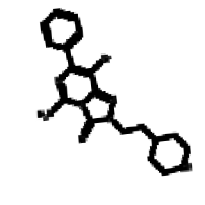 Nc1nc(-c2ccccc2)c(Br)c2nn(CCC3CCNCC3)c(=O)n12